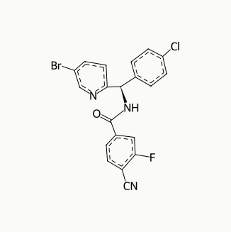 N#Cc1ccc(C(=O)N[C@H](c2ccc(Cl)cc2)c2ccc(Br)cn2)cc1F